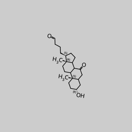 C[C@]12CC[C@@H](O)CC1CC(=O)C1C2CC[C@@]2(C)C1CC[C@@H]2CCCC=O